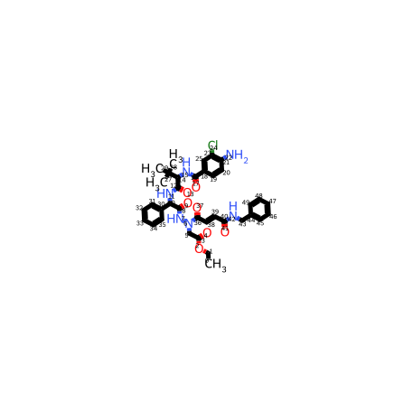 CCOC(=O)CN(NC(=O)C(NC(=O)C(NC(=O)c1ccc(N)c(Cl)c1)C(C)(C)C)c1ccccc1)C(=O)/C=C/C(=O)NCc1ccccc1